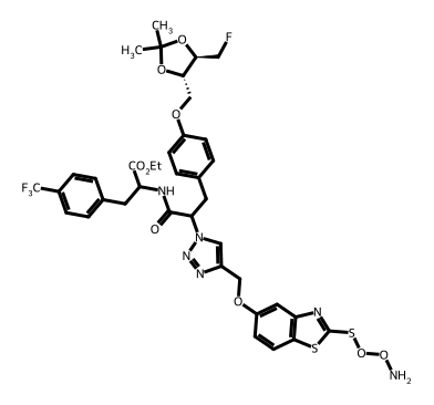 CCOC(=O)C(Cc1ccc(C(F)(F)F)cc1)NC(=O)C(Cc1ccc(OC[C@@H]2OC(C)(C)O[C@H]2CF)cc1)n1cc(COc2ccc3sc(SOON)nc3c2)nn1